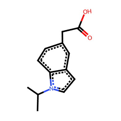 CC(C)n1ccc2cc(CC(=O)O)ccc21